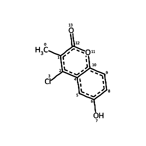 Cc1c(Cl)c2cc(O)ccc2oc1=O